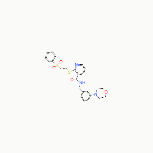 O=C(NCc1cccc(N2CCOCC2)c1)c1cccnc1SCCS(=O)(=O)c1ccccc1